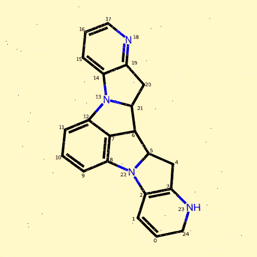 C1=CC2=C(CC3C4c5c(cccc5N5c6cccnc6CC45)N23)NC1